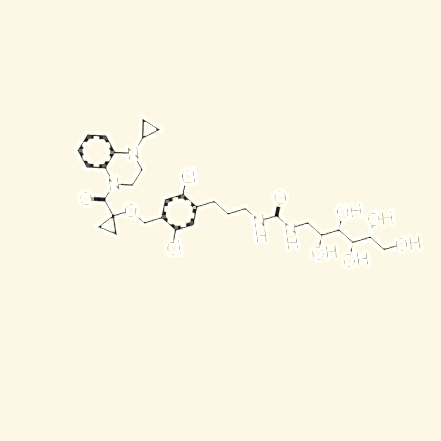 O=C(NCCCc1cc(Cl)c(COC2(C(=O)N3CCN(C4CC4)c4ccccc43)CC2)cc1Cl)NC[C@H](O)[C@@H](O)[C@H](O)[C@H](O)CO